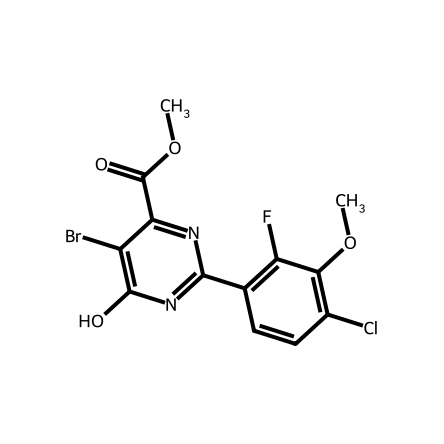 COC(=O)c1nc(-c2ccc(Cl)c(OC)c2F)nc(O)c1Br